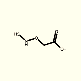 O=C(O)CONS